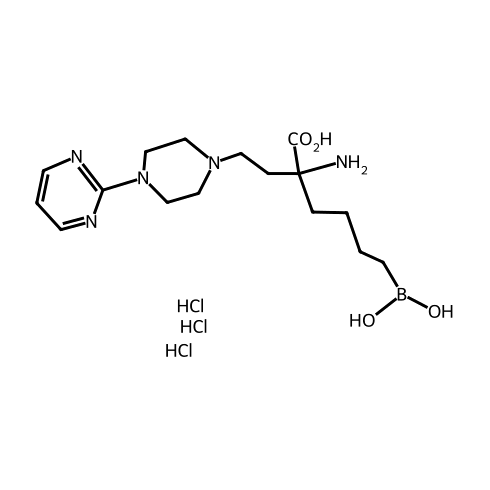 Cl.Cl.Cl.NC(CCCCB(O)O)(CCN1CCN(c2ncccn2)CC1)C(=O)O